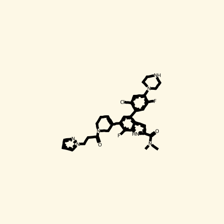 CN(C)C(=O)c1cc2c(-c3cc(F)c(N4CCNCC4)cc3Cl)cc(C3=CCCN(C(=O)CCn4cccn4)C3)c(F)c2[nH]1